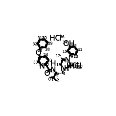 CC(C)[C@@H](CN1CCN(c2cccc(O)c2)[C@@H](C)C1)NC(=O)c1ccc(Oc2ccccc2)cn1.Cl.Cl.Cl